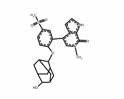 Cn1cc(-c2cc(S(C)(=O)=O)ccc2OC2C3CC4CC2CC(C3)C4O)c2cc[nH]c2c1=O